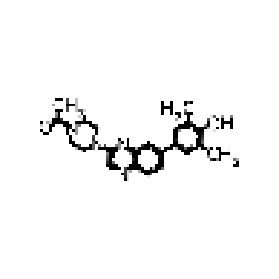 CC(=O)N1CCN(c2cnc3ccc(-c4cc(C)c(O)c(C)c4)cc3n2)CC1